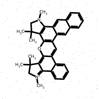 CN1CC(C)(C)c2c3c(c4cc5ccccc5cc4c21)C=c1c(c2c(c4ccccc14)=[N+](C)CC2(C)C)O3